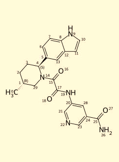 C[C@@H]1CC[C@@H](c2ccc3[nH]ccc3c2)N(C(=O)C(=O)Nc2cncc(C(N)=O)c2)C1